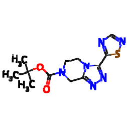 CC(C)(C)OC(=O)N1CCn2c(nnc2-c2ncns2)C1